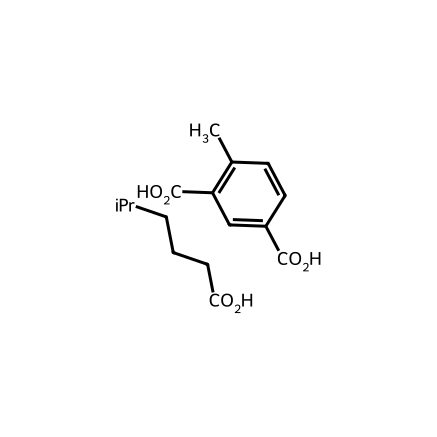 CC(C)CCCC(=O)O.Cc1ccc(C(=O)O)cc1C(=O)O